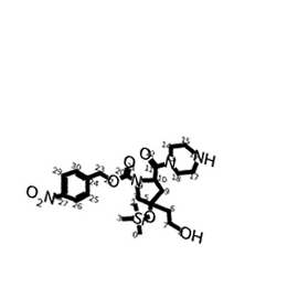 C[Si](C)(C)OC1(CCO)CC(C(=O)N2CCNCC2)N(C(=O)OCc2ccc([N+](=O)[O-])cc2)C1